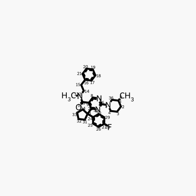 CC1CCCN(c2ncc(C(=O)N(C)CCc3ccccc3)c(C3(c4ccc(F)cc4)CCCC3)n2)C1